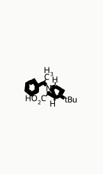 C[C@@H](c1ccccc1)N1[C@H]2C=C(C(C)(C)C)[C@@H](C2)[C@@H]1C(=O)O